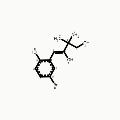 CC(N)(CO)C(O)=Cc1cc(Br)ccc1O